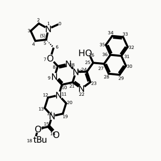 CN1CCC[C@H]1COc1nc(N2CCN(C(=O)OC(C)(C)C)CC2)c2ncc(C(O)c3cccc4ccccc34)n2n1